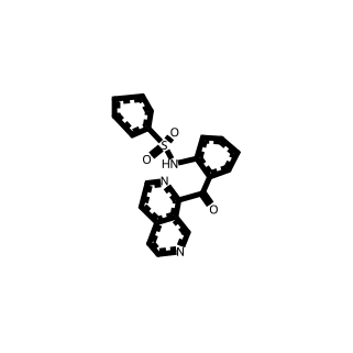 O=C(c1ccccc1NS(=O)(=O)c1ccccc1)c1nccc2ccncc12